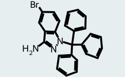 Nc1nn(C(c2ccccc2)(c2ccccc2)c2ccccc2)c2ccc(Br)cc12